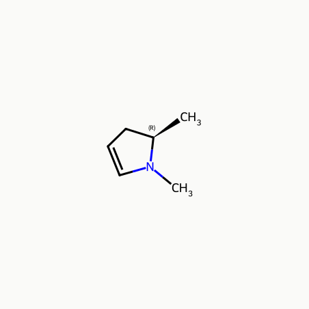 C[C@@H]1CC=CN1C